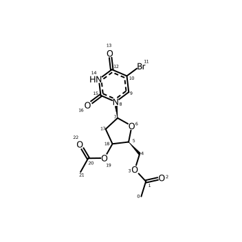 CC(=O)OC[C@@H]1O[C@H](n2cc(Br)c(=O)[nH]c2=O)CC1OC(C)=O